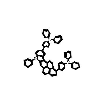 c1ccc(N(c2ccccc2)c2ccc(-c3ccc4c(c3)c3c5ccc6c(-c7ccc(N(c8ccccc8)c8ccccc8)cc7)ccc7ccc(cc3n4-c3ccccc3)c5c76)cc2)cc1